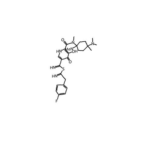 CNC1(N(C)C(=O)c2[nH]cc(C(=N)SC(=N)Cc3ccc(F)cc3)c(=O)c2O)CCC(C)(N(C)C)CC1